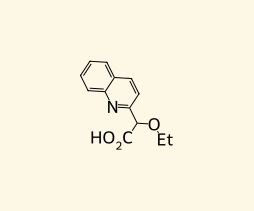 CCOC(C(=O)O)c1ccc2ccccc2n1